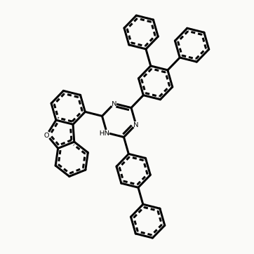 c1ccc(-c2ccc(C3=NC(c4ccc(-c5ccccc5)c(-c5ccccc5)c4)=NC(c4cccc5oc6ccccc6c45)N3)cc2)cc1